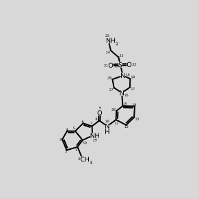 Cc1cccc2cc(C(=O)Nc3cccc(N4CCN(S(=O)(=O)CCN)CC4)c3)[nH]c12